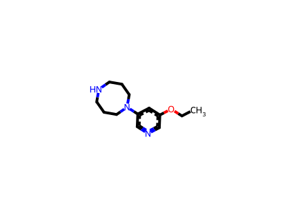 CCOc1cncc(N2CCCNCCC2)c1